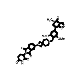 COc1cc(-c2cn(C)c(=O)c3cnsc23)cc(OC)c1CN1CCC2(CC1)CN(c1ccc3c(c1)C(=O)N(C1CCC(=O)NC1=O)C3=O)C2